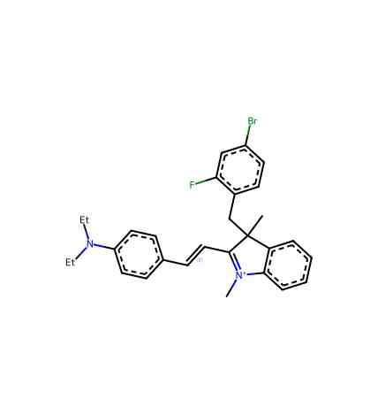 CCN(CC)c1ccc(/C=C/C2=[N+](C)c3ccccc3C2(C)Cc2ccc(Br)cc2F)cc1